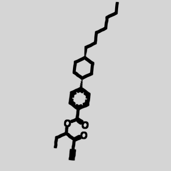 C#CC(=O)C(CC)OC(=O)c1ccc([C@H]2CC[C@H](CCCCCCC)CC2)cc1